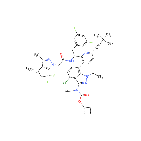 CSN(C(=O)OC1CCC1)c1nn(CC(F)(F)F)c2c(-c3ccc(C#CC(C)(C)SC)nc3C(Cc3cc(F)cc(F)c3)NC(=O)Cn3nc(C(F)(F)F)c4c3C(F)(F)C[C@@H]4C)ccc(Cl)c12